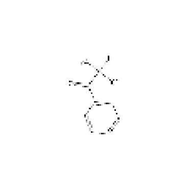 O=C(c1cc[c]cc1)C(F)(C(F)(F)F)C(F)(F)F